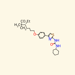 CCOC(=O)C(C)(C)CCCCCOc1ccc(-c2csc(NC(=O)NC3CCCCC3)n2)cc1